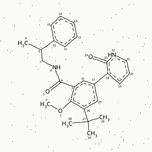 COc1c(C(=O)NCC(C)c2ccccc2)cc(-c2ccc[nH]c2=O)cc1C(C)(C)C